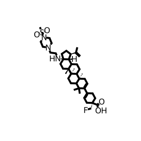 C=C(C)[C@@H]1CC[C@]2(NCCN3CCN(S(C)(=O)=O)CC3)CC[C@]3(C)C(CCC4[C@@]5(C)CC=C(C6=CC[C@](CF)(C(=O)O)CC6)C(C)(C)C5CC[C@]43C)[C@@H]12